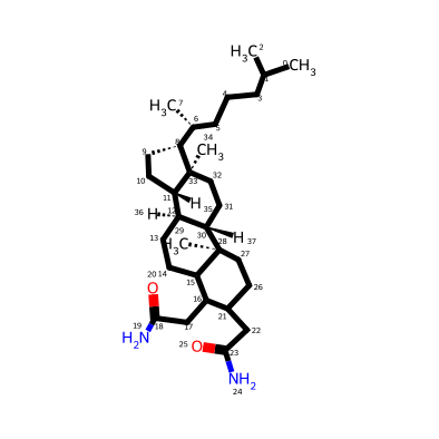 CC(C)CCC[C@@H](C)[C@H]1CC[C@H]2[C@@H]3CCC4C(CC(N)=O)C(CC(N)=O)CC[C@]4(C)[C@H]3CC[C@]12C